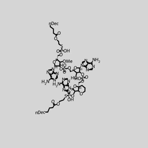 CCCCCCCCCCCCCC(=O)OCCSP(=O)(O)OC[C@H]1O[C@@H](n2cnc3c(N)ncnc32)C(OP(=O)(O)OC[C@H]2O[C@@H](n3cnc4c(N)ncnc43)C(OP(=O)(O)OC[C@]34CCCOC3C(OP(=O)(O)SCCOC(=O)CCCCCCCCCCCCC)[C@H](n3cnc5c(N)ncnc53)O4)C2O)C1OC